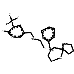 FC(F)(F)c1cc(CNCC[C@@]2(c3ccccn3)CCOC3(CCCC3)C2)cnc1Cl